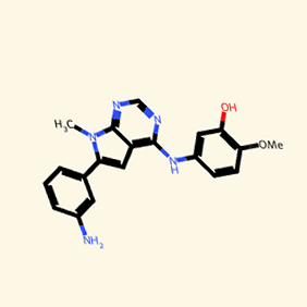 COc1ccc(Nc2ncnc3c2cc(-c2cccc(N)c2)n3C)cc1O